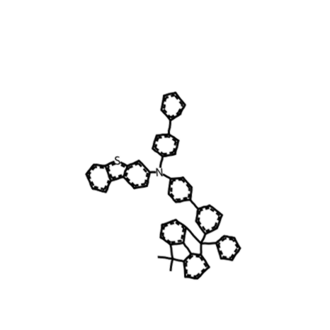 CC1(C)c2cccc3c2-c2c1cccc2C3(c1ccccc1)c1cccc(-c2ccc(N(c3ccc(-c4ccccc4)cc3)c3ccc4c(c3)sc3ccccc34)cc2)c1